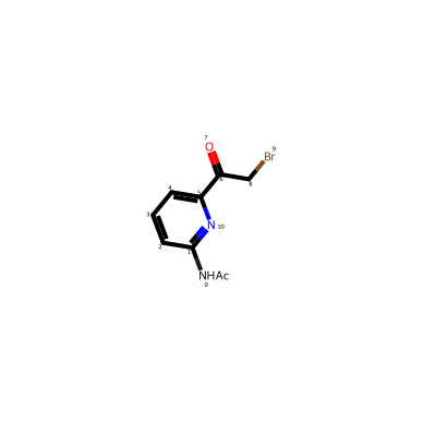 CC(=O)Nc1cccc(C(=O)CBr)n1